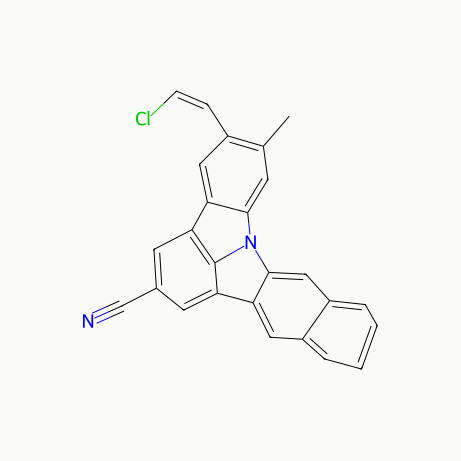 Cc1cc2c(cc1/C=C\Cl)c1cc(C#N)cc3c4cc5ccccc5cc4n2c13